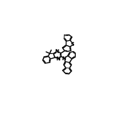 CC1(C)c2ccccc2-c2nc(-n3c4ccccc4c4cc5ccccc5cc43)c(-c3ccc4sc5ccccc5c4c3)nc21